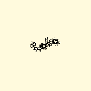 COC(=O)C1CCC(Cc2ccc(NC(=O)Cc3ccccc3)nn2)C1